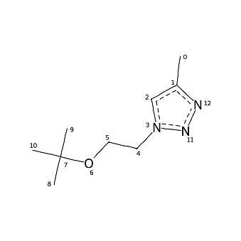 Cc1cn(CCOC(C)(C)C)nn1